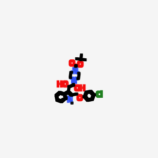 Cn1c(COc2ccc(Cl)cc2)c(C(O)C(O)N2CCN(C(=O)OC(C)(C)C)CC2)c2ccccc21